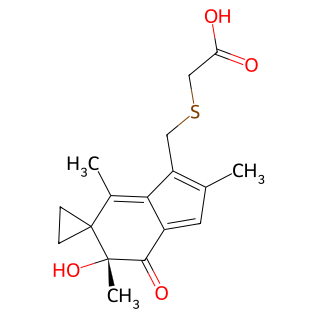 CC1=C(CSCC(=O)O)C2=C(C)C3(CC3)[C@@](C)(O)C(=O)C2=C1